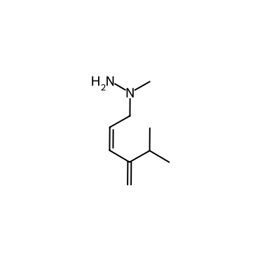 C=C(/C=C\CN(C)N)C(C)C